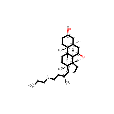 C[C@H](CC[Se]CCC(=O)O)[C@H]1CC[C@H]2[C@@H]3[C@H](O)C[C@@H]4C[C@H](O)CC[C@]4(C)[C@H]3CC[C@]12C